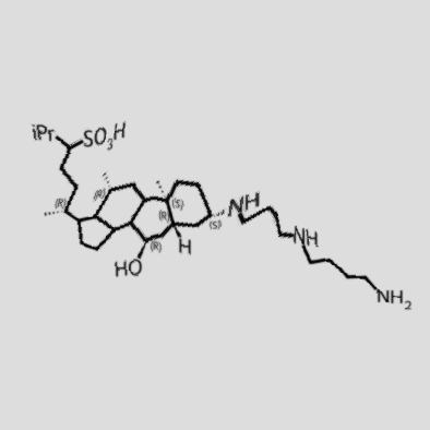 CC(C)C(CC[C@@H](C)C1CCC2C1[C@H](C)CC1C2[C@H](O)C[C@H]2C[C@@H](NCCCNCCCCN)CC[C@]12C)S(=O)(=O)O